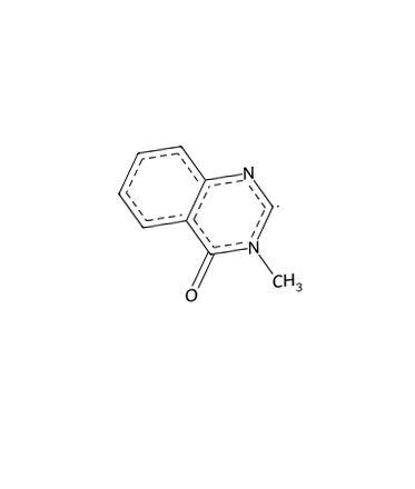 Cn1[c]nc2ccccc2c1=O